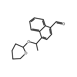 CC(OC1CCCCO1)c1ccc(C=O)c2ccccc12